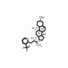 CC(CCc1ncccc1C(F)(F)F)[C@H]1CC[C@H]2[C@@H]3CC=C4C[C@@H](O)CC[C@]4(C)[C@H]3CC[C@]12C